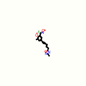 CO/N=C(\F)c1cc(C#CCCCc2nc(C)no2)cc(C)c1OC